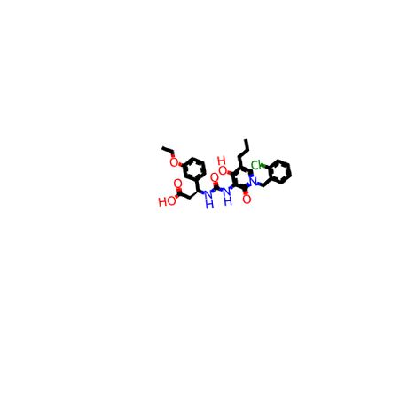 CCCc1cn(Cc2ccccc2Cl)c(=O)c(NC(=O)N[C@@H](CC(=O)O)c2cccc(OCC)c2)c1O